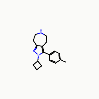 Cc1ccc(-c2c3c(nn2C2CCC2)CCNCC3)cc1